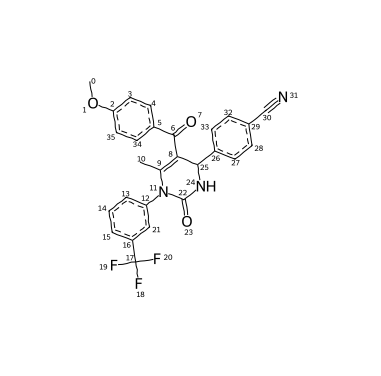 COc1ccc(C(=O)C2=C(C)N(c3cccc(C(F)(F)F)c3)C(=O)NC2c2ccc(C#N)cc2)cc1